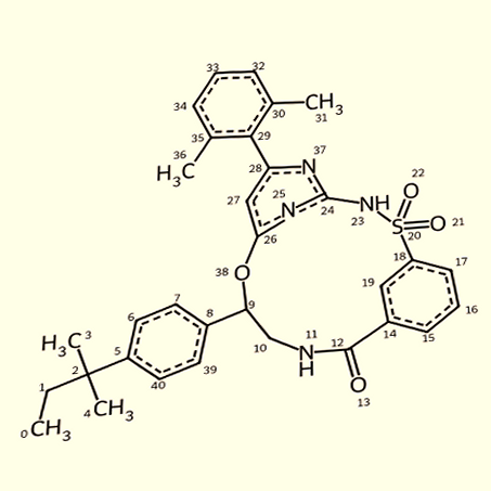 CCC(C)(C)c1ccc(C2CNC(=O)c3cccc(c3)S(=O)(=O)Nc3nc(cc(-c4c(C)cccc4C)n3)O2)cc1